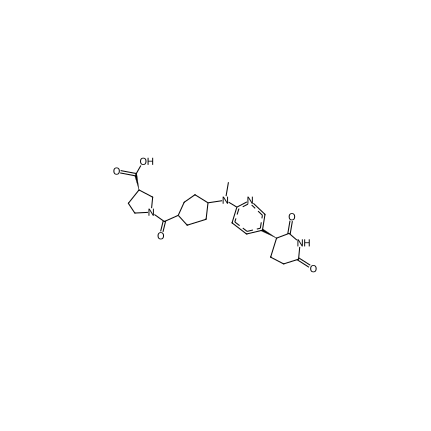 CN(c1ccc([C@@H]2CCC(=O)NC2=O)cn1)C1CCC(C(=O)N2CC[C@@H](C(=O)O)C2)CC1